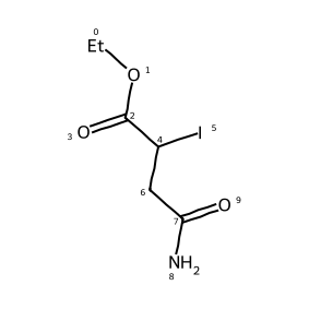 CCOC(=O)C(I)CC(N)=O